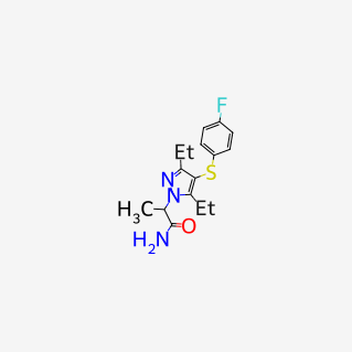 CCc1nn(C(C)C(N)=O)c(CC)c1Sc1ccc(F)cc1